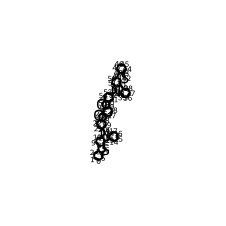 c1ccc2c(c1)sc1c2ccc2c1c1ccccc1n2-c1ccc2oc3c(ccc4c5cc(-n6c7ccccc7c7c8sc9ccccc9c8ccc76)ccc5oc43)c2c1